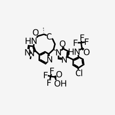 C[C@@H]1CCC[C@H](n2cnc(-c3cc(Cl)ccc3NC(=O)C(F)(F)F)cc2=O)c2cc(ccn2)-c2c(cnn2C)NC1=O.O=C(O)C(F)(F)F